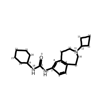 O=C(Nc1ccc2c(c1)CCN(C1CCC1)CC2)NC1CCCCC1